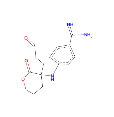 N=C(N)c1ccc(NC2(CCC=O)CCCOC2=O)cc1